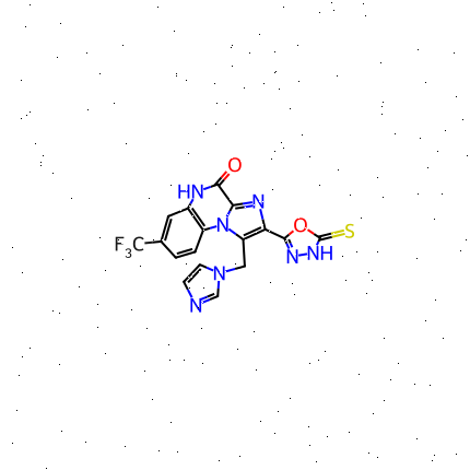 O=c1[nH]c2cc(C(F)(F)F)ccc2n2c(Cn3ccnc3)c(-c3n[nH]c(=S)o3)nc12